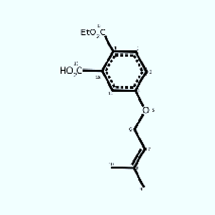 CCOC(=O)c1ccc(OCC=C(C)C)cc1C(=O)O